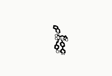 O=C(C(Cc1ccon1)N(Cc1ccc(-c2ccncc2)cc1)C(=O)C=Cc1ccc(C(F)(F)F)cc1)N1CCc2ccccc2C1